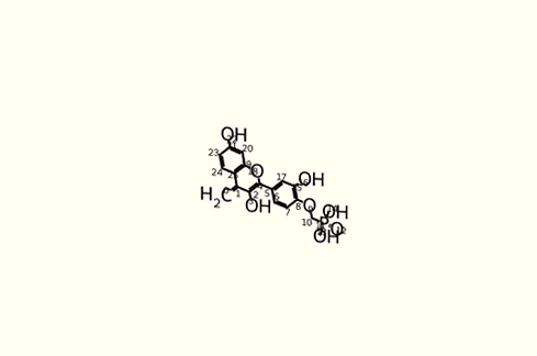 C=C1C(O)=C(c2ccc(OCP(=O)(O)O)c(O)c2)Oc2cc(O)ccc21